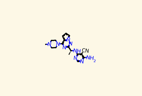 C[C@H](Nc1ncnc(N)c1C#N)c1nc(N2CCN(C)CC2)c2cccn2n1